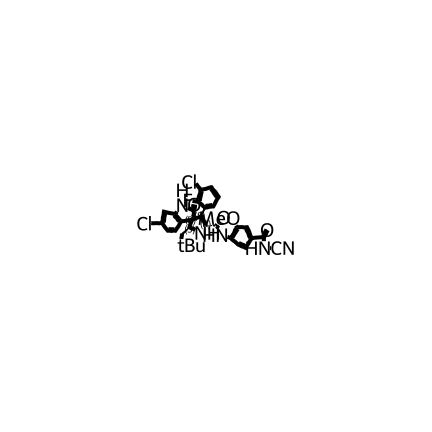 COc1cc(C(=O)NC#N)ccc1NC(=O)[C@@H]1N[C@@H](CC(C)(C)C)[C@@]2(C(=O)Nc3cc(Cl)ccc32)[C@H]1c1cccc(Cl)c1F